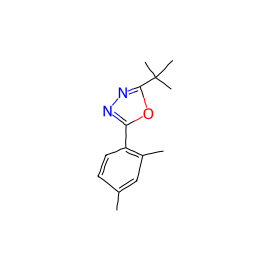 Cc1ccc(-c2nnc(C(C)(C)C)o2)c(C)c1